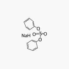 O=S(=O)(Oc1ccccc1)Oc1ccccc1.[NaH]